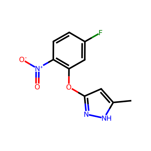 Cc1cc(Oc2cc(F)ccc2[N+](=O)[O-])n[nH]1